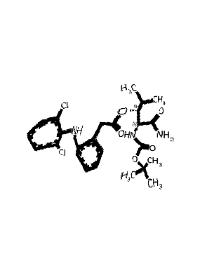 CC(C)[C@@H](OC(=O)Cc1ccccc1Nc1c(Cl)cccc1Cl)[C@H](NC(=O)OC(C)(C)C)C(N)=O